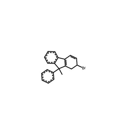 CC1(c2ccccc2)C2=C(C=CC(Br)C2)c2ccccc21